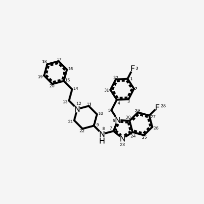 Fc1ccc(Cn2c(NC3CCN(CCc4ccccc4)CC3)nc3ccc(F)cc32)cc1